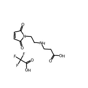 O=C(O)C(F)(F)F.O=C(O)CCNCCN1C(=O)C=CC1=O